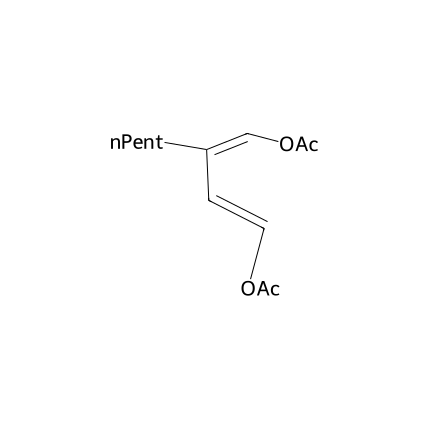 CCCCCC(C=COC(C)=O)=COC(C)=O